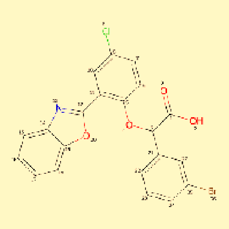 O=C(O)C(Oc1ccc(Cl)cc1-c1nc2ccccc2o1)c1cccc(Br)c1